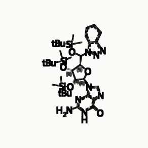 CC(C)(C)[Si](C)(C)OC([C@H]1O[C@@H](n2cnc3c(=O)[nH]c(N)nc32)[C@H](O[Si](C)(C)C(C)(C)C)[C@@H]1O[Si](C)(C)C(C)(C)C)n1nnc2ccccc21